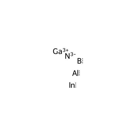 [Al].[B].[Ga+3].[In].[N-3]